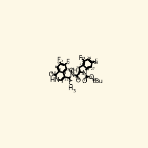 CC(c1c[nH]c(=O)c2cc(F)c(F)cc12)N(C)C(=O)C1Cc2c(F)cc(F)cc2N1C(=O)OC(C)(C)C